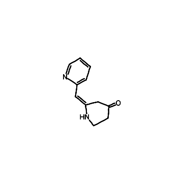 O=C1CCNC(=Cc2ccccn2)C1